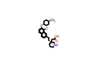 C[C@H]1CC[C@@H](Oc2ccc3ccc(CC[C@]4(CC(=O)O)CCCNC4)cc3c2Cl)CC1